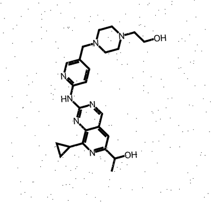 CC(O)c1cc2cnc(Nc3ccc(CN4CCN(CCO)CC4)cn3)nc2c(C2CC2)n1